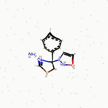 C1=CN(C2(c3ccccc3)CSC=N2)NO1.N